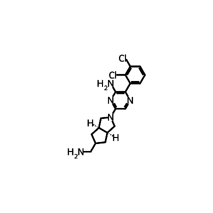 NCC1C[C@@H]2CN(c3cnc(-c4cccc(Cl)c4Cl)c(N)n3)C[C@@H]2C1